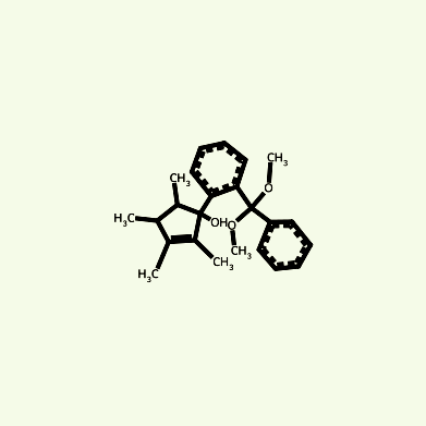 COC(OC)(c1ccccc1)c1ccccc1C1(O)C(C)=C(C)C(C)C1C